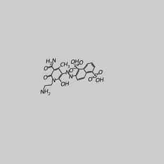 Cc1c(N=Nc2ccc3c(S(=O)(=O)O)cccc3c2S(=O)(=O)O)c(O)n(CCN)c(=O)c1C(N)=O